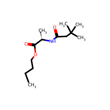 CCCCOC(=O)[C@H](C)NC(=O)CC(C)(C)C